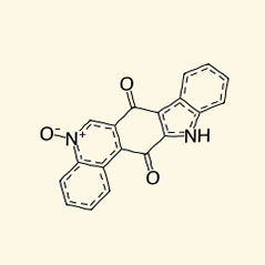 O=C1c2c[n+]([O-])c3ccccc3c2C(=O)c2[nH]c3ccccc3c21